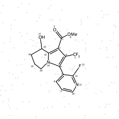 COC(=O)c1c(C(F)(F)F)c(-c2cccnc2F)n2c1C(O)CCC2